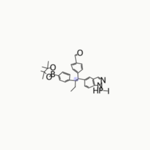 CC/C(=C(/c1ccc(C=O)cc1)c1ccc2c(cnn2PI)c1)c1ccc(B2OC(C)(C)C(C)(C)O2)cc1